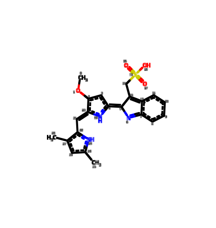 COc1c/c(=C2/N=c3ccccc3=C2CS(=O)(=O)O)[nH]/c1=C\c1[nH]c(C)cc1C